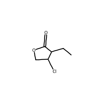 CCC1C(=O)OCC1Cl